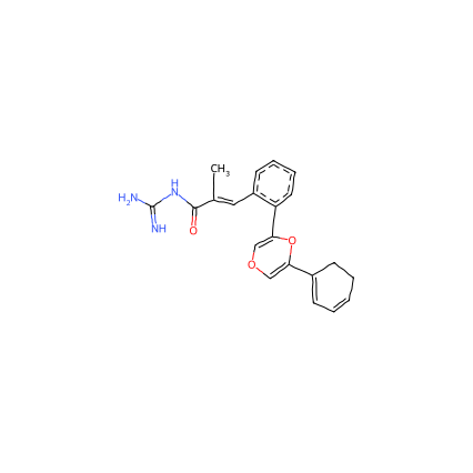 C/C(=C\c1ccccc1C1=COC=C(C2=CC=CCC2)O1)C(=O)NC(=N)N